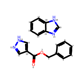 O=C(OCc1ccccc1)c1cn[nH]c1.c1ccc2[nH]cnc2c1